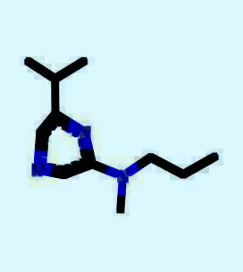 CCCN(C)c1cncc(C(C)C)n1